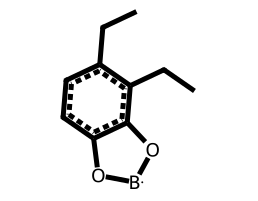 CCc1ccc2c(c1CC)O[B]O2